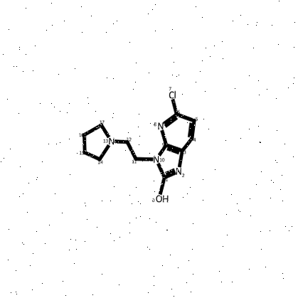 Oc1nc2ccc(Cl)nc2n1CCN1CCCC1